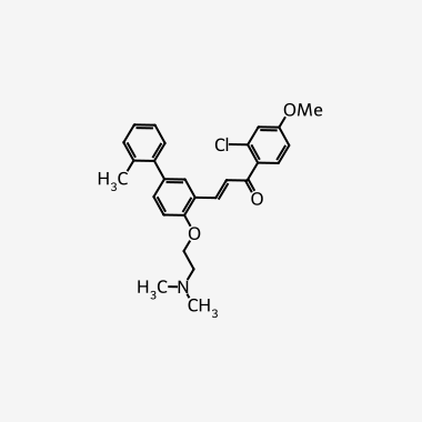 COc1ccc(C(=O)C=Cc2cc(-c3ccccc3C)ccc2OCCN(C)C)c(Cl)c1